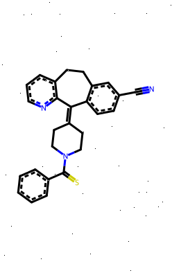 N#Cc1ccc2c(c1)CCc1cccnc1C2=C1CCN(C(=S)c2ccccc2)CC1